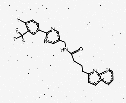 O=C(CCCc1ccc2cccnc2n1)NCc1cnc(-c2ccc(F)c(C(F)(F)F)c2)nc1